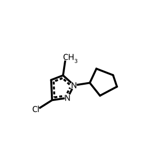 Cc1cc(Cl)nn1C1CCCC1